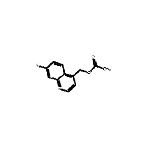 CC(=O)OCc1ccnc2cc(F)ccc12